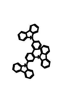 c1cc(-c2ccc(-n3c4ccccc4c4ccccc43)cc2-n2c3ccccc3c3ccccc32)cc(-n2c3ccccc3c3ccccc32)c1